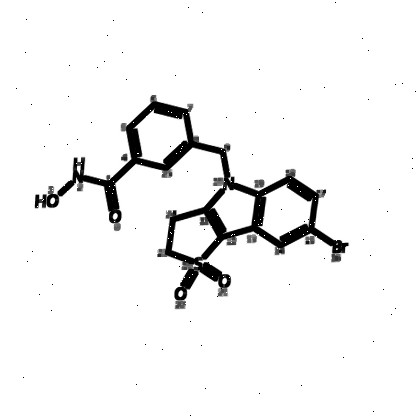 O=C(NO)c1cccc(Cn2c3c(c4cc(Br)ccc42)S(=O)(=O)CC3)c1